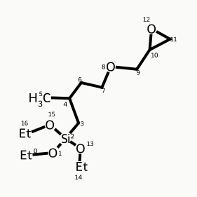 CCO[Si](CC(C)CCOCC1CO1)(OCC)OCC